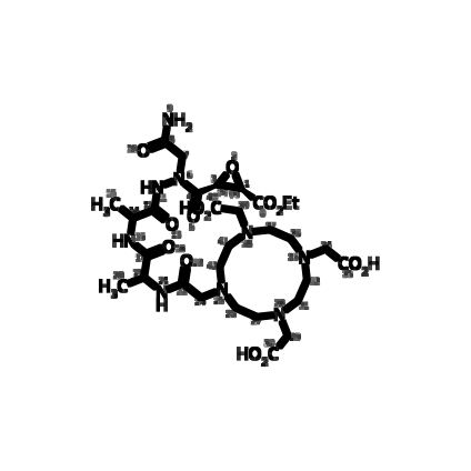 CCOC(=O)[C@@H]1O[C@@H]1C(=O)N(CC(N)=O)NC(=O)C(C)NC(=O)C(C)NC(=O)CN1CCN(CC(=O)O)CCN(CC(=O)O)CCN(CC(=O)O)CC1